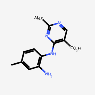 CSc1ncc(C(=O)O)c(Nc2ccc(C)cc2N)n1